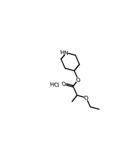 CCOC(C)C(=O)OC1CCNCC1.Cl